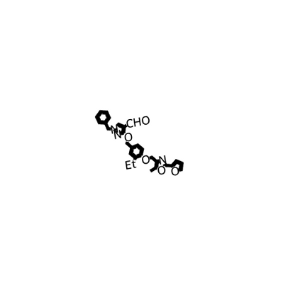 CCc1cc(COc2nn(Cc3ccccc3)cc2C=O)ccc1OCc1nc(-c2ccco2)oc1C